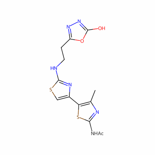 CC(=O)Nc1nc(C)c(-c2csc(NCCc3nnc(O)o3)n2)s1